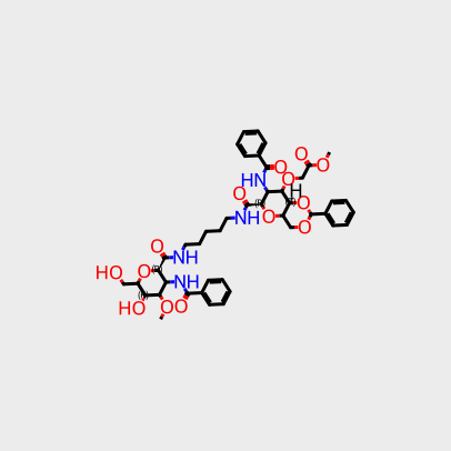 COC(=O)COC1C(NC(=O)c2ccccc2)[C@H](C(=O)NCCCCCNC(=O)[C@@H]2OC(CO)[C@H](O)C(OC)C2NC(=O)c2ccccc2)OC2COC(c3ccccc3)O[C@@H]21